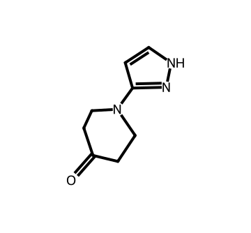 O=C1CCN(c2cc[nH]n2)CC1